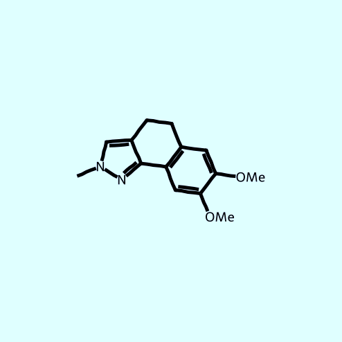 COc1cc2c(cc1OC)-c1nn(C)cc1CC2